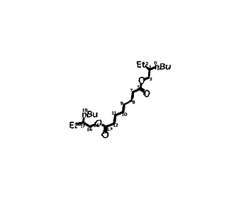 CCCCC(CC)COC(=O)CCCCCCC(=O)OCC(CC)CCCC